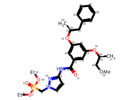 CCOP(=O)(Cn1ccc(NC(=O)c2cc(O[C@@H](C)COC)cc(O[C@@H](C)Cc3ccccc3)c2)n1)OCC